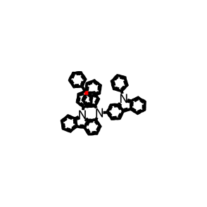 c1ccc(-c2ccc(N(c3ccc4c5ccccc5n(-c5ccccc5)c4c3)c3cccc4c5ccccc5n(-c5ccc6ccccc6c5)c34)cc2)cc1